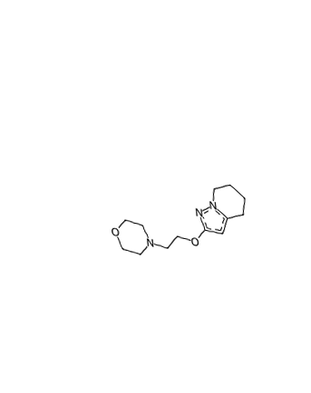 c1c(OCCN2CCOCC2)nn2c1CCCC2